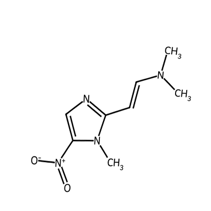 CN(C)/C=C/c1ncc([N+](=O)[O-])n1C